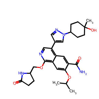 CC(C)Oc1cc2c(OCC3CCC(=O)N3)ncc(-c3cnn(C4CCC(C)(O)CC4)c3)c2cc1C(N)=O